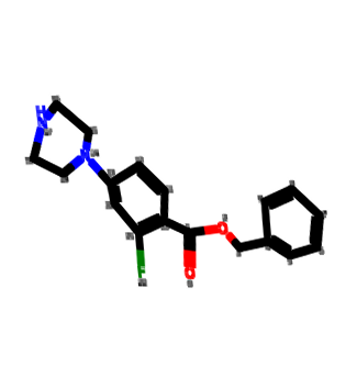 O=C(OCc1ccccc1)c1ccc(N2CCNCC2)cc1F